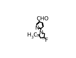 C[C@H]1C[C@H](F)CN1c1ccc(C=O)cn1